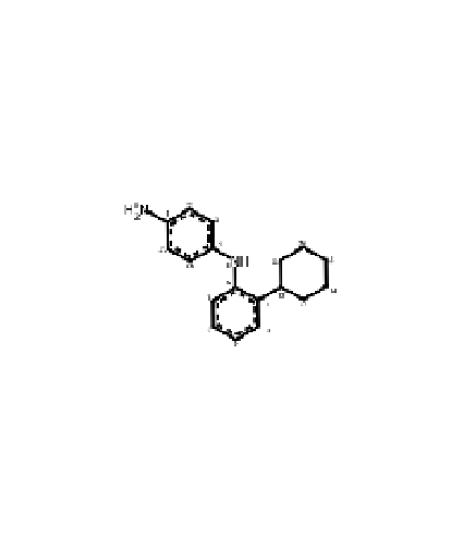 Nc1ccc(Nc2ccccc2C2CCCCC2)cc1